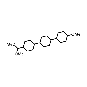 COC1CCC(C2CCC(C3CCC(C(OC)OC)CC3)CC2)CC1